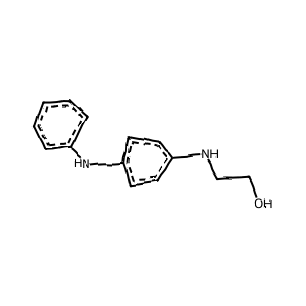 OCCNc1ccc(Nc2ccccc2)cc1